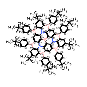 CC(C)(C)c1ccc(B2c3cc(C(C)(C)C)cc4c3N3c5c2cc2c6c5B5c7c3c(cc3c7N7c8c(cc(C(C)(C)C)cc8B(c8ccc(C(C)(C)C)cc8)c8cc9c(c5c87)N6c5c(cc(C(C)(C)C)cc5B9c5ccc(C(C)(C)C)cc5)B2c2ccc(C(C)(C)C)cc2)B3c2ccc(C(C)(C)C)cc2)B4c2ccc(C(C)(C)C)cc2)cc1